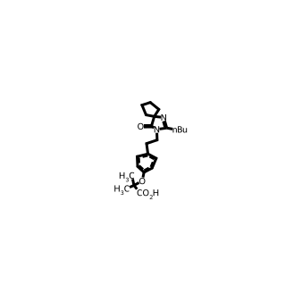 CCCCC1=NC2(CCCC2)C(=O)N1CCc1ccc(OC(C)(C)C(=O)O)cc1